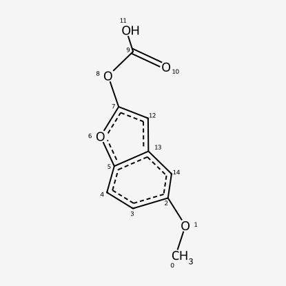 COc1ccc2oc(OC(=O)O)cc2c1